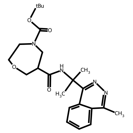 Cc1nnc(C(C)(C)NC(=O)C2COCCN(C(=O)OC(C)(C)C)C2)c2ccccc12